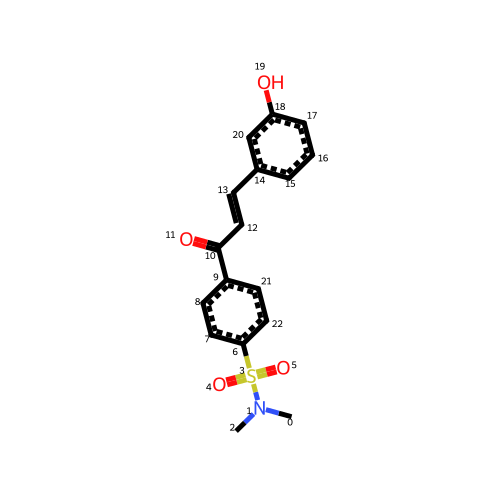 CN(C)S(=O)(=O)c1ccc(C(=O)/C=C/c2cccc(O)c2)cc1